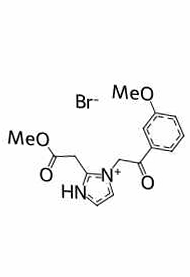 COC(=O)Cc1[nH]cc[n+]1CC(=O)c1cccc(OC)c1.[Br-]